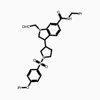 CC(C)CNC(=O)c1ccc2c(c1)N(CC=O)CC2C1CCN(S(=O)(=O)c2ccc(OC(C)C)cc2)C1